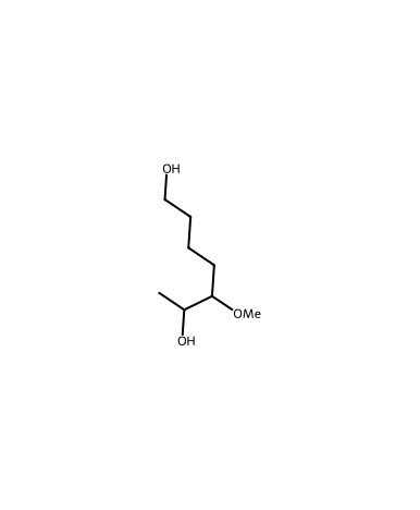 COC(CCCCO)C(C)O